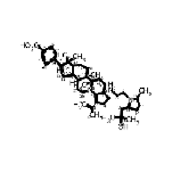 C=C(C)[C@@H]1CC[C@]2(NCCN3C(C)CCC3CC(C)(C)O)CC[C@]3(C)N(CC[C@@H]4[C@@]5(C)CC=C(c6ccc(C(=O)O)cc6)C(C)(C)C5CC[C@]43C)C12